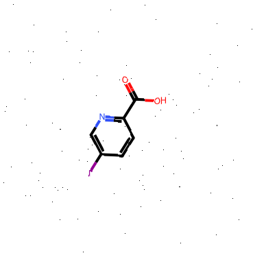 O=C(O)c1ccc(I)cn1